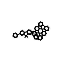 CC1(C)c2cc(-c3ccccc3)ccc2-c2ccc(N(c3ccccc3)c3cccc4c3C3(c5ccccc5-c5ccccc53)c3ccccc3C43c4ccccc4-c4ccccc43)cc21